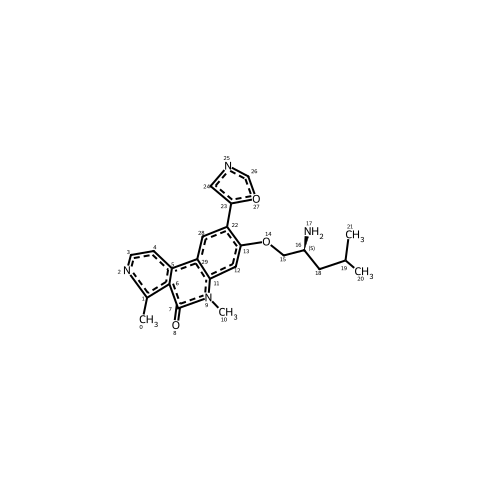 Cc1nccc2c1c(=O)n(C)c1cc(OC[C@@H](N)CC(C)C)c(-c3cnco3)cc21